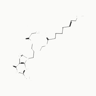 CCCCCCCCCCCC=CCCCCC(=O)OCC[C@@H](COC(=O)[C@@H](N)C(C)C)Cn1cnc2c(=O)[nH]c(N)nc21